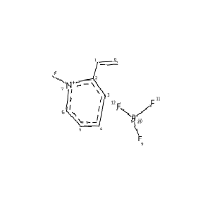 C=Cc1cccc[n+]1C.FB(F)F